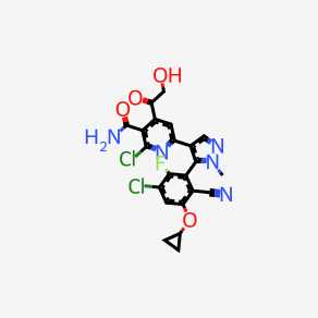 Cn1ncc(-c2cc(C(=O)CO)c(C(N)=O)c(Cl)n2)c1-c1c(F)c(Cl)cc(OC2CC2)c1C#N